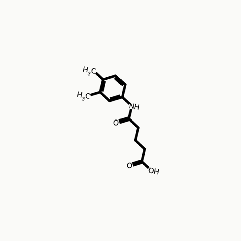 Cc1ccc(NC(=O)CCCC(=O)O)cc1C